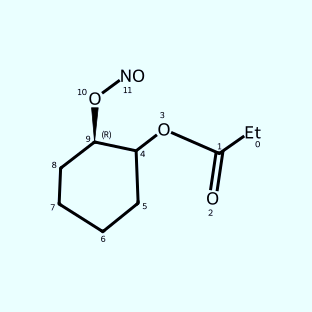 CCC(=O)OC1CCCC[C@H]1ON=O